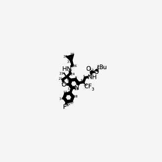 CC(C)(C)OC(=O)NC[C@H](c1cc2c(c(-c3ccc(F)cc3)n1)OC[C@]2(C)CNCC1CC1)C(F)(F)F